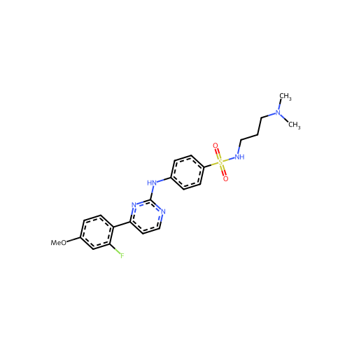 COc1ccc(-c2ccnc(Nc3ccc(S(=O)(=O)NCCCN(C)C)cc3)n2)c(F)c1